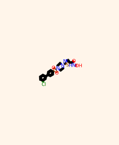 O=C(NO)c1cnc(N2CCN(S(=O)(=O)c3ccc(-c4cccc(Cl)c4)cc3)CC2)s1